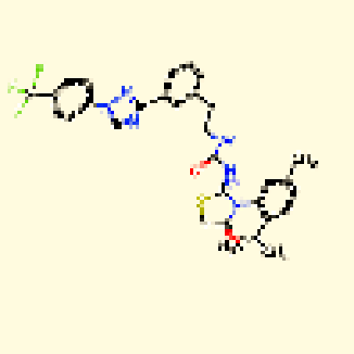 Cc1ccc(C(C)C)c(N2C(=O)CS/C2=N\C(=O)NCCc2cccc(-c3ncn(-c4ccc(C(F)(F)F)cc4)n3)c2)c1